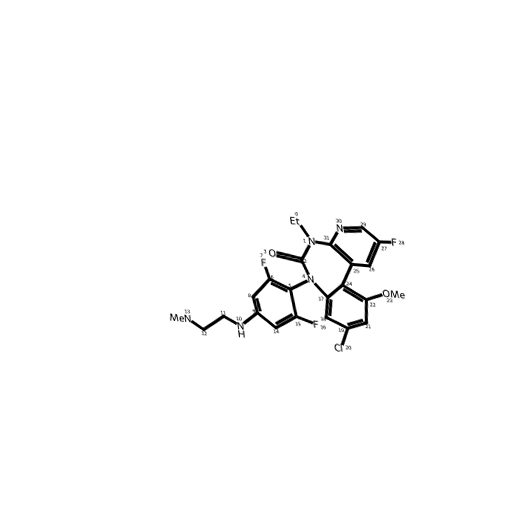 CCN1C(=O)N(c2c(F)cc(NCCNC)cc2F)c2cc(Cl)cc(OC)c2-c2cc(F)cnc21